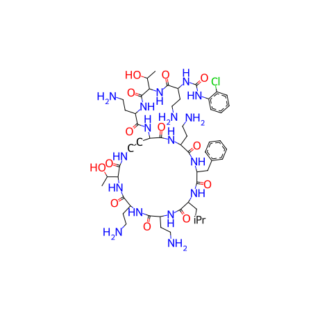 CC(C)CC1NC(=O)C(Cc2ccccc2)NC(=O)C(CCN)NC(=O)C(NC(=O)C(CCN)NC(=O)C(NC(=O)C(CCN)NC(=O)Nc2ccccc2Cl)C(C)O)CCNC(=O)C(C(C)O)NC(=O)C(CCN)NC(=O)C(CCN)NC1=O